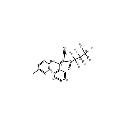 Cc1ccc(N/C(=C(\C#N)C(=O)C(F)(F)C(F)(F)C(F)(F)F)c2ccccc2)cc1